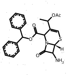 CC(=O)OC(C)C1=CS[C@@H]2C(N)C(=O)N2C1C(=O)OC(c1ccccc1)c1ccccc1